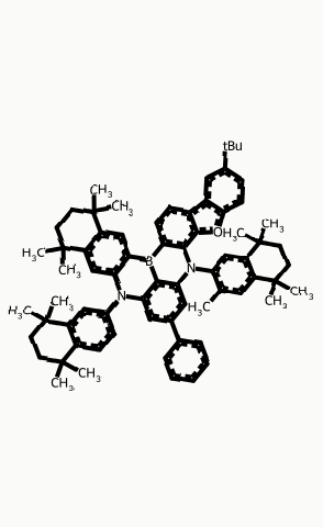 Cc1cc2c(cc1N1c3cc(-c4ccccc4)cc4c3B(c3cc5c(cc3N4c3ccc4c(c3)C(C)(C)CCC4(C)C)C(C)(C)CCC5(C)C)c3ccc4c(oc5ccc(C(C)(C)C)cc54)c31)C(C)(C)CCC2(C)C